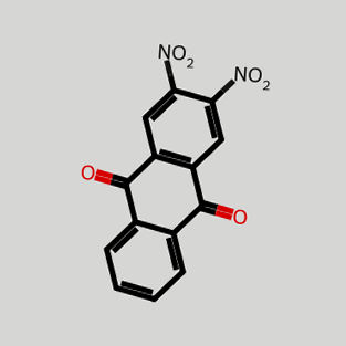 O=C1c2ccccc2C(=O)c2cc([N+](=O)[O-])c([N+](=O)[O-])cc21